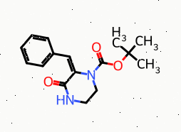 CC(C)(C)OC(=O)N1CCNC(=O)C1=Cc1ccccc1